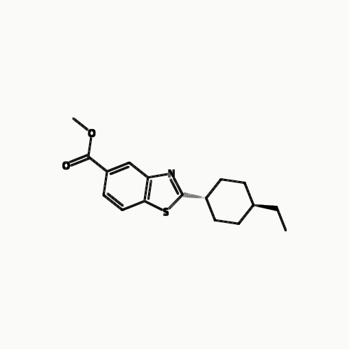 CC[C@H]1CC[C@H](c2nc3cc(C(=O)OC)ccc3s2)CC1